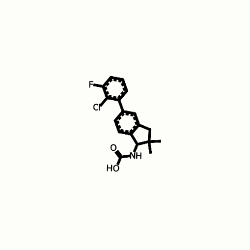 CC1(C)Cc2cc(-c3cccc(F)c3Cl)ccc2C1NC(=O)O